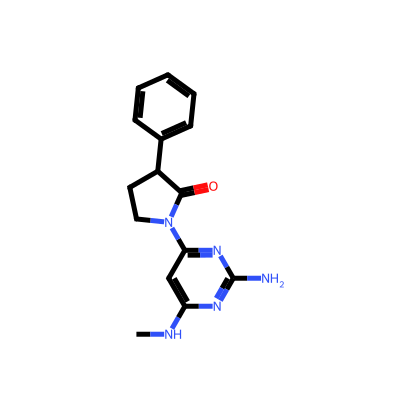 CNc1cc(N2CCC(c3ccccc3)C2=O)nc(N)n1